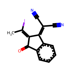 C/C(I)=C1\C(=O)c2ccccc2C1=C(C#N)C#N